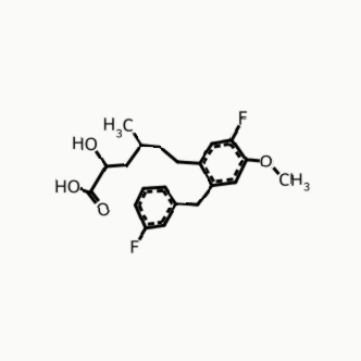 COc1cc(Cc2cccc(F)c2)c(CCC(C)CC(O)C(=O)O)cc1F